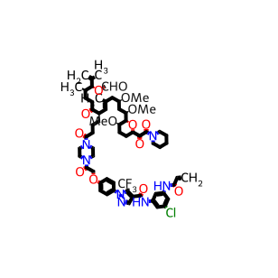 C=CC(=O)Nc1cc(Cl)cc(NC(=O)c2cnn(-c3ccc(OCC(=O)N4CCN(C(=O)CCC[C@H](/C=C(\C)C[C@@H](C[C@H](OC)[C@H]5OC(C(=O)C(=O)N6CCCCC6)CC[C@@H]5OC)OC)C(=O)CC[C@@H](C)[C@H](OC=O)C(=C)C)CC4)cc3)c2C(F)(F)F)c1